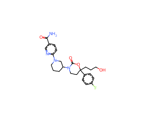 NC(=O)c1ccc(N2CCCC(N3CCC(CCCO)(c4ccc(F)cc4)OC3=O)C2)nc1